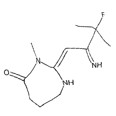 CN1C(=O)CCCN/C1=C\C(=N)C(C)(C)F